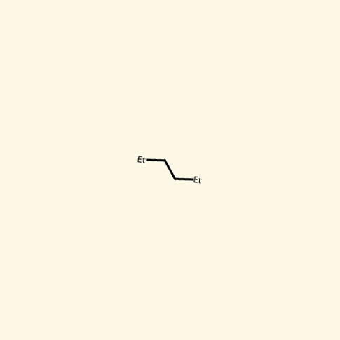 CCCCC[13CH3]